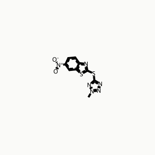 Cn1nnc(Sc2nc3ccc([N+](=O)[O-])cc3s2)n1